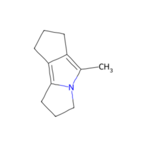 Cc1c2c(c3n1CCC3)CCC2